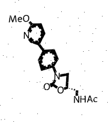 COc1ccc(-c2ccc(N3C[C@H](CNC(C)=O)OC3=O)cc2)cn1